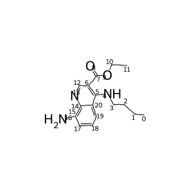 CCCCNc1c(C(=O)OCC)cnc2c(N)cccc12